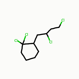 ClCCC(Cl)CC1CCCCC1(Cl)Cl